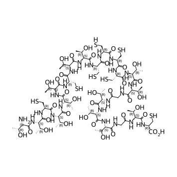 C[C@@H](O)[C@H](N)C(=O)N[C@H](C(=O)N[C@@H](CS)C(=O)N[C@H](C(=O)N[C@H](C(=O)N[C@H](C(=O)N[C@@H](CS)C(=O)N[C@H](C(=O)N[C@H](C(=O)N[C@@H](CS)C(=O)N[C@@H](CS)C(=O)N[C@@H](CS)C(=O)N[C@@H](CS)C(=O)N[C@H](C(=O)N[C@H](C(=O)NCC(=O)N[C@H](C(=O)N[C@H](C(=O)N[C@H](C(=O)NCC(=O)N[C@H](C(=O)N[C@@H](CS)C(=O)O)[C@@H](C)O)[C@@H](C)O)[C@@H](C)O)[C@@H](C)O)[C@@H](C)O)[C@@H](C)O)[C@@H](C)O)[C@@H](C)O)[C@@H](C)O)[C@@H](C)O)[C@@H](C)O)[C@@H](C)O